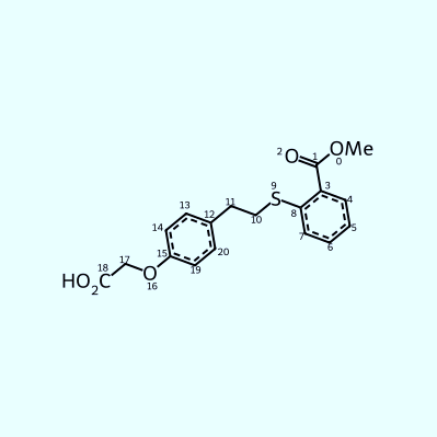 COC(=O)c1ccccc1SCCc1ccc(OCC(=O)O)cc1